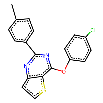 Cc1ccc(-c2nc(Oc3ccc(Cl)cc3)c3sccc3n2)cc1